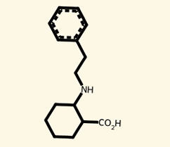 O=C(O)C1CCCCC1NCCc1ccccc1